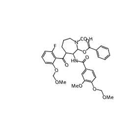 COCOc1ccc(C(=O)NC2C(C(=O)c3c(F)cccc3OCOC)CCCN(C(=O)O)C2OC(=O)c2ccccc2)cc1OC